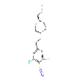 CCC[C@H]1CC[C@H](CCc2cc(F)c(C#N)c(F)c2)CC1